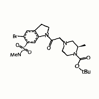 CNS(=O)(=O)c1cc2c(cc1Br)CCN2C(=O)CN1CCN(C(=O)OC(C)(C)C)[C@H](C)C1